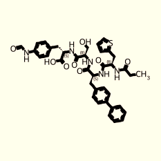 CCC(=O)N[C@H](Cc1cccs1)C(=O)N[C@@H](Cc1ccc(-c2ccccc2)cc1)C(=O)N[C@H](CO)C(=O)N[C@@H](Cc1ccc(NC=O)cc1)C(=O)O